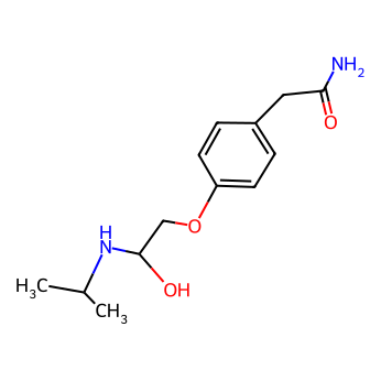 CC(C)NC(O)COc1ccc(CC(N)=O)cc1